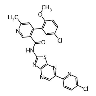 COc1ccc(Cl)cc1-c1cc(C)ncc1C(=O)Nc1nc2ncc(-c3ccc(Cl)cn3)nc2s1